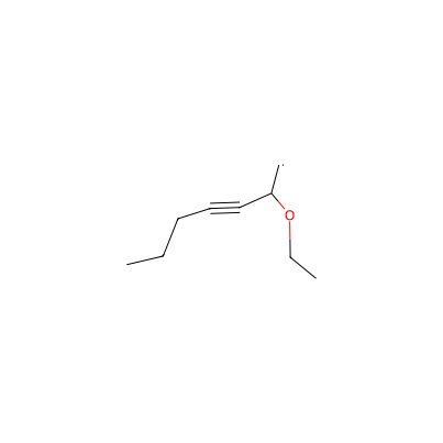 [CH2]C(C#CCCC)OCC